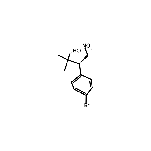 CC(C)(C=O)[C@@H](C[N+](=O)[O-])c1ccc(Br)cc1